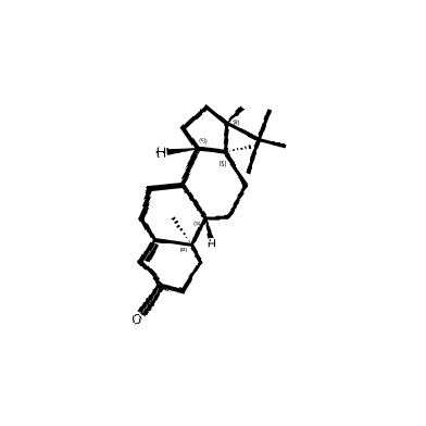 CC(C)(C)[C@@]1(C)CC[C@H]2C3CCC4=CC(=O)CC[C@]4(C)[C@H]3CC[C@@]21C